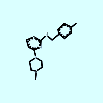 Cc1ccc(CNc2nccc(N3CCN(C)CC3)n2)cc1